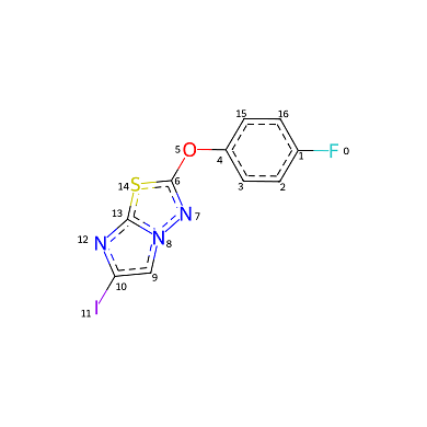 Fc1ccc(Oc2nn3cc(I)nc3s2)cc1